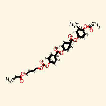 CCC(=O)OCCCCOC(=O)Oc1ccc(C(=O)Oc2ccc(C(=O)Oc3ccc(OC(C)=O)c(C)c3)cc2)cc1